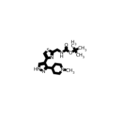 CN1CCC(c2n[nH]cc2-c2csc(CNC(=O)OC(C)(C)C)n2)CC1